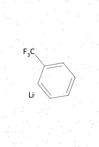 FC(F)(F)c1ccccc1.[Li]